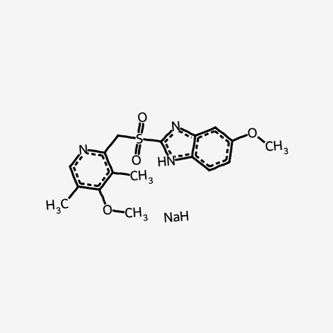 COc1ccc2[nH]c(S(=O)(=O)Cc3ncc(C)c(OC)c3C)nc2c1.[NaH]